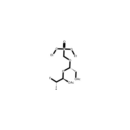 CCOP(=O)(CO[C@H](COC(C)=O)O[C@@H](OC(C)=O)[C@H](C)F)OCC